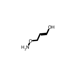 NOCC=CO